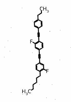 CCCCCCc1ccc(C#Cc2ccc(C#Cc3ccc(CCC)cc3)c(F)c2)cc1F